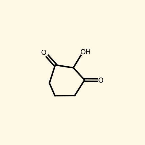 O=C1CCCC(=O)C1O